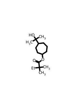 CCC(C)(C)C(=O)OC1CCCC(C(C)(C)O)CC1